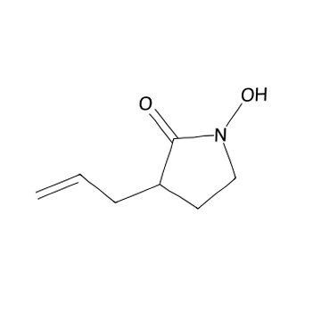 C=CCC1CCN(O)C1=O